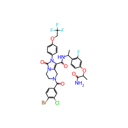 CC(Oc1ccc(C(C)NC(=O)c2c3n(c(=O)n2-c2ccc(OCC(F)(F)F)cc2)CCN(C(=O)c2ccc(Br)c(Cl)c2)C3)c(F)c1)C(N)=O